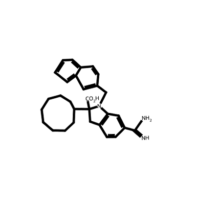 N=C(N)c1ccc2c(c1)N(Cc1ccc3ccccc3c1)C(C(=O)O)(C1CCCCCCCC1)C2